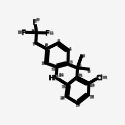 CC1(C)c2ccc(CC(F)(F)F)cc2Nc2cccc(Cl)c21